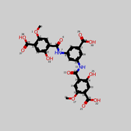 COc1cc(C(=O)Nc2cc(NC(=O)c3cc(OC)c(C(=O)O)cc3O)cc(C(=O)O)c2)c(O)cc1C(=O)O